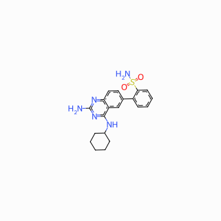 Nc1nc(NC2CCCCC2)c2cc(-c3ccccc3S(N)(=O)=O)ccc2n1